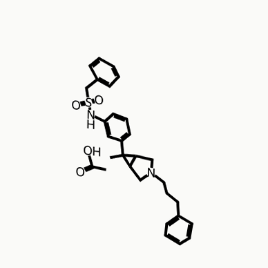 CC(=O)O.CC1(c2cccc(NS(=O)(=O)Cc3ccccc3)c2)C2CN(CCCc3ccccc3)CC21